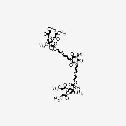 C=CC(=O)OCC(C)(COC(=O)C=C)NC(=O)OCCSCCCn1c(=O)n(CC)c(=O)n(CCCSCCOC(=O)NC(C)(COC(=O)C=C)COC(=O)C=C)c1=O